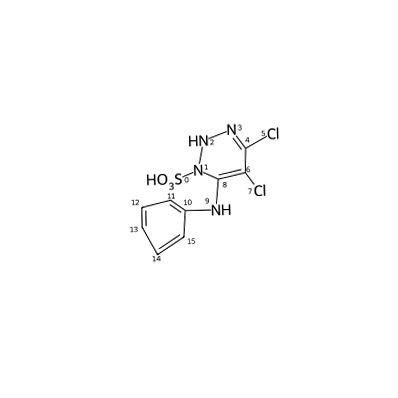 O=S(=O)(O)N1NN=C(Cl)C(Cl)=C1Nc1ccccc1